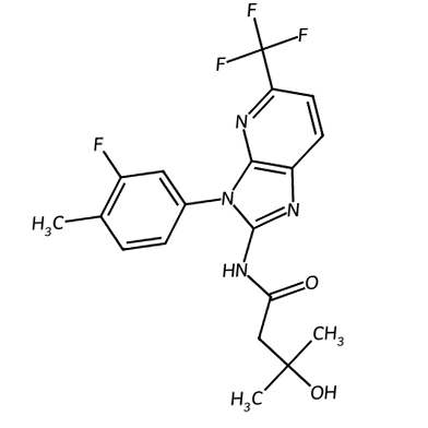 Cc1ccc(-n2c(NC(=O)CC(C)(C)O)nc3ccc(C(F)(F)F)nc32)cc1F